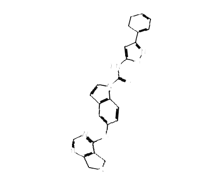 O=C(Nc1cc(C2=CC=CCC2)no1)n1ccc2cc(Oc3ncnc4c3CNC4)ccc21